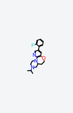 CC(C)N1CCN2c3ncc(-c4ccccc4F)cc3OCCC2C1